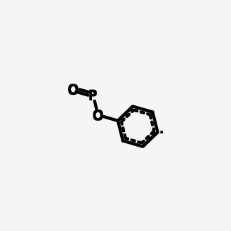 O=POc1cc[c]cc1